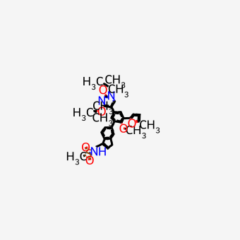 COc1c(-c2ccc3c(c2)CC=C3CNS(C)(=O)=O)cc(-c2cnc(OC(C)(C)C)nc2OC(C)(C)C)cc1-c1ccc(C)o1